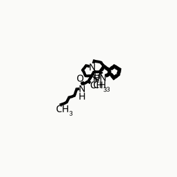 CCCCCCNC(=O)C(C)[C@]1(CC)CCCN2CCc3c([nH]c4ccccc34)[C@@H]21